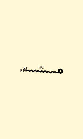 CCN(CC)CCCCCCCCCCCCCCCCCCCc1ccccc1.Cl